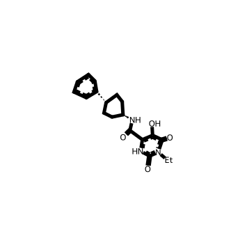 CCn1c(=O)[nH]c(C(=O)N[C@H]2CC[C@@H](c3ccccc3)CC2)c(O)c1=O